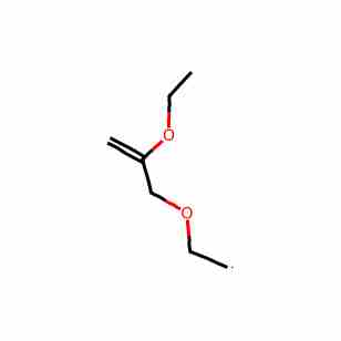 [CH2]COCC(=C)OCC